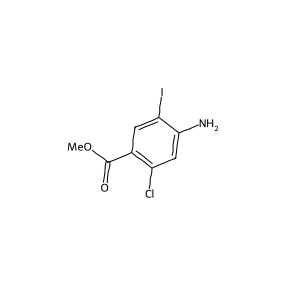 COC(=O)c1cc(I)c(N)cc1Cl